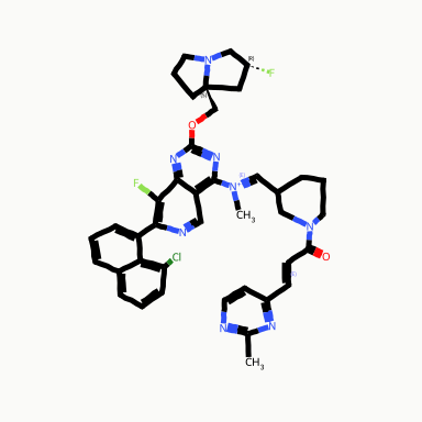 Cc1nccc(/C=C/C(=O)N2CCCC(/C=[N+](\C)c3nc(OC[C@@]45CCCN4C[C@H](F)C5)nc4c(F)c(-c5cccc6cccc(Cl)c56)ncc34)C2)n1